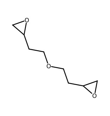 C(CC1CO1)OCCC1CO1